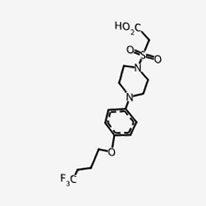 O=C(O)CS(=O)(=O)N1CCN(c2ccc(OCCCC(F)(F)F)cc2)CC1